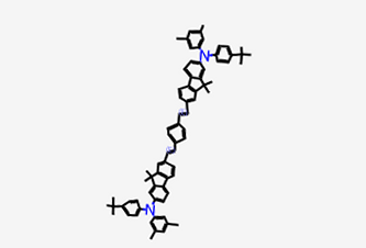 Cc1cc(C)cc(N(c2ccc(C(C)(C)C)cc2)c2ccc3c(c2)C(C)(C)c2cc(/C=C/c4ccc(/C=C/c5ccc6c(c5)C(C)(C)c5cc(N(c7ccc(C(C)(C)C)cc7)c7cc(C)cc(C)c7)ccc5-6)cc4)ccc2-3)c1